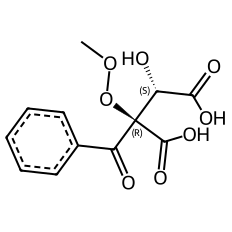 COO[C@@](C(=O)O)(C(=O)c1ccccc1)[C@H](O)C(=O)O